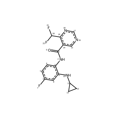 O=C(Nc1ccc(F)cc1NC1CC1)c1cncnc1C(F)F